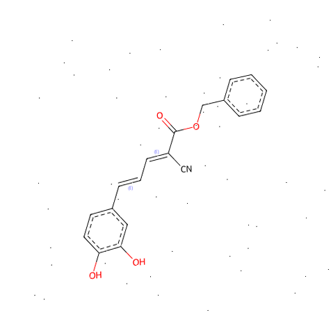 N#C/C(=C\C=C\c1ccc(O)c(O)c1)C(=O)OCc1ccccc1